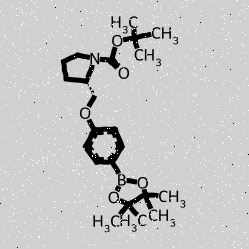 CC(C)(C)OC(=O)N1CCC[C@H]1COc1ccc(B2OC(C)(C)C(C)(C)O2)cc1